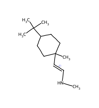 CN/C=C/C1(C)CCC(C(C)(C)C)CC1